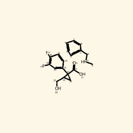 CNCc1ccccc1.O=C(O)C1(c2ccc(F)c(F)c2)CC1CO